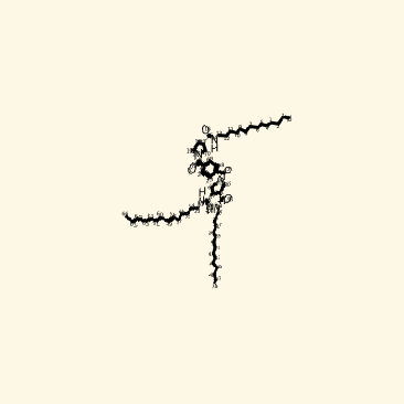 CCCCCCCCCCCCCCNC(=O)[C@H]1CCN(C(=O)c2ccc(C(=O)N3C[C@@H](C(=O)NCCCCCCCCCCCCCC)[C@H](C(=O)NCCCCCCCCCCCCCC)C3)cc2)C1